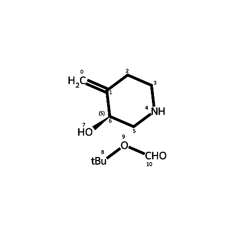 C=C1CCNC[C@H]1O.CC(C)(C)OC=O